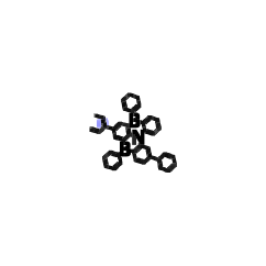 C=C/C(=C\C)c1cc2c3c(c1)B(c1ccccc1)c1ccc(-c4ccccc4)cc1N3c1ccccc1B2C1=CCCC=C1